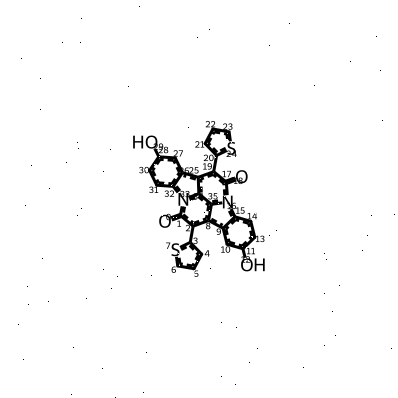 O=c1c(-c2cccs2)c2c3cc(O)ccc3n3c(=O)c(-c4cccs4)c4c5cc(O)ccc5n1c4c23